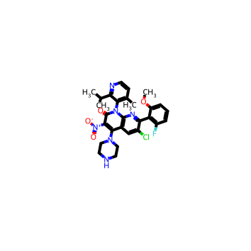 COc1cccc(F)c1-c1nc2c(cc1Cl)c(N1CCNCC1)c([N+](=O)[O-])c(=O)n2-c1c(C)ccnc1C(C)C